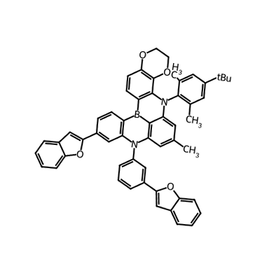 Cc1cc2c3c(c1)N(c1c(C)cc(C(C)(C)C)cc1C)c1c(ccc4c1OCCO4)B3c1ccc(-c3cc4ccccc4o3)cc1N2c1cccc(-c2cc3ccccc3o2)c1